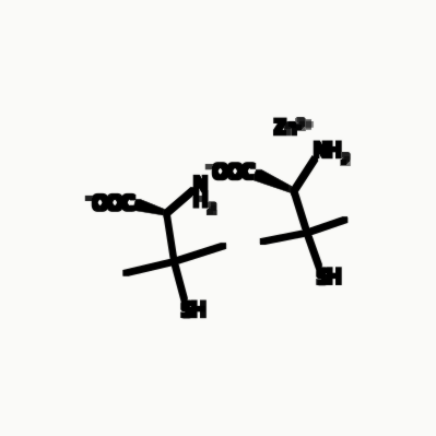 CC(C)(S)[C@H](N)C(=O)[O-].CC(C)(S)[C@H](N)C(=O)[O-].[Zn+2]